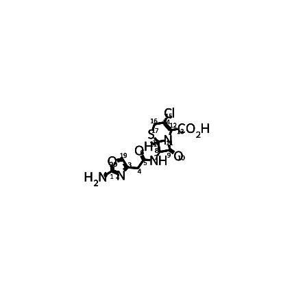 Nc1nc(CC(=O)N[C@@H]2C(=O)N3C(C(=O)O)=C(Cl)CS[C@@H]23)co1